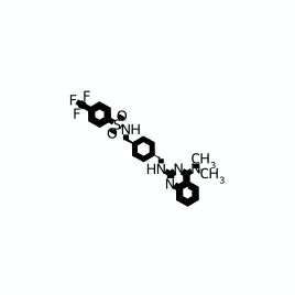 CN(C)c1nc(NC[C@H]2CC[C@H](CNS(=O)(=O)c3ccc(C(F)(F)F)cc3)CC2)nc2ccccc12